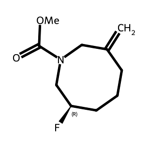 C=C1CCC[C@@H](F)CN(C(=O)OC)C1